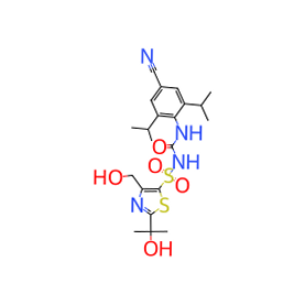 CC(C)c1cc(C#N)cc(C(C)C)c1NC(=O)NS(=O)(=O)c1sc(C(C)(C)O)nc1CO